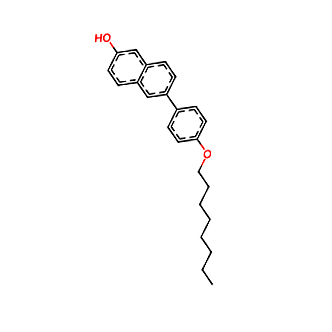 CCCCCCCCOc1ccc(-c2ccc3cc(O)ccc3c2)cc1